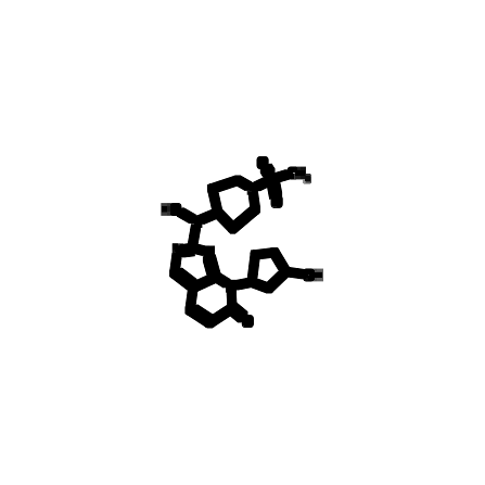 CS(=O)(=O)N1CCC(N(O)c2ncc3ccc(=O)n(C4CCC(O)C4)c3n2)CC1